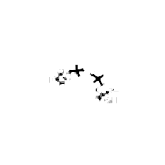 CC(C)(COCC(C)(C)COP(=O)(O)O)COP(=O)(O)O